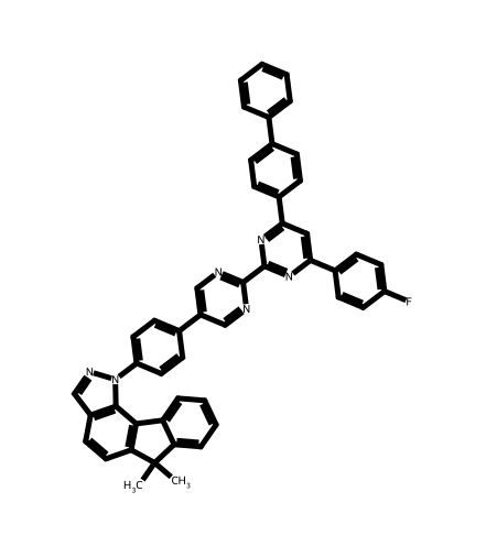 CC1(C)c2ccccc2-c2c1ccc1cnn(-c3ccc(-c4cnc(-c5nc(-c6ccc(F)cc6)cc(-c6ccc(-c7ccccc7)cc6)n5)nc4)cc3)c21